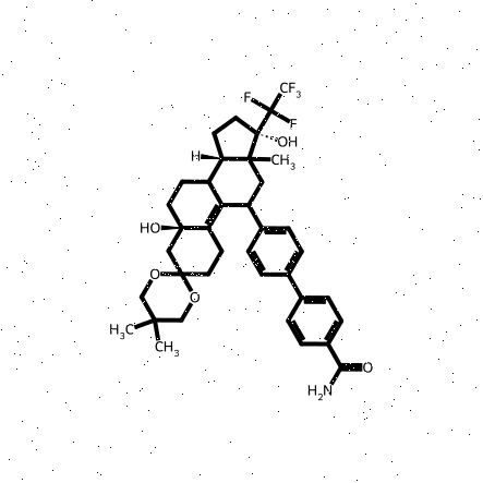 CC1(C)COC2(CCC3=C4C(c5ccc(-c6ccc(C(N)=O)cc6)cc5)CC5(C)[C@@H](CC[C@@]5(O)C(F)(F)C(F)(F)F)C4CC[C@@]3(O)C2)OC1